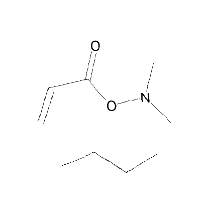 C=CC(=O)ON(C)C.CCCC